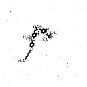 CCCCCCCOc1ccc(C(=O)Oc2ccc(CC(NC(=O)c3ccc(NC(=O)c4c(C)noc4C)cc3)C(=O)O)cc2OC)cc1